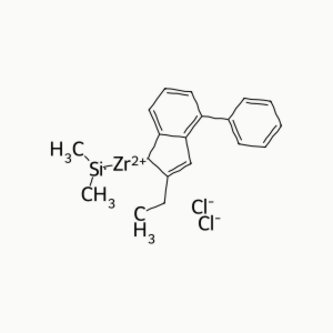 CCC1=Cc2c(-c3ccccc3)cccc2[CH]1[Zr+2][Si](C)C.[Cl-].[Cl-]